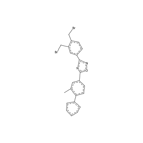 Cc1cc(-c2nc(-c3ccc(CBr)c(CBr)c3)no2)ccc1-c1ccccc1